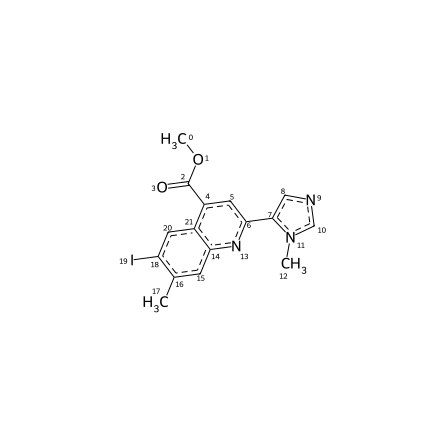 COC(=O)c1cc(-c2cncn2C)nc2cc(C)c(I)cc12